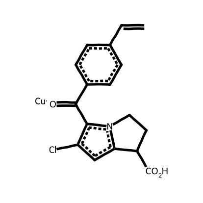 C=Cc1ccc(C(=O)c2c(Cl)cc3n2CCC3C(=O)O)cc1.[Cu]